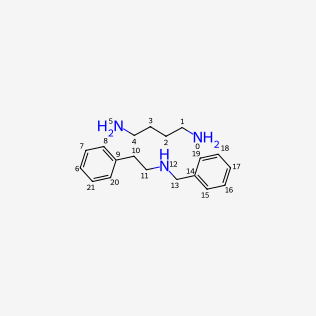 NCCCCN.c1ccc(CCNCc2ccccc2)cc1